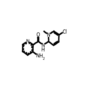 CN1C=C(Cl)C=CC1NC(=O)c1ncccc1N